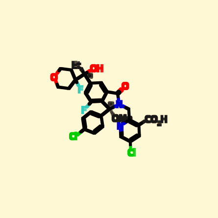 CC[C@@](O)(c1cc(F)c2c(c1)C(=O)N(Cc1ncc(Cl)cc1C(=O)O)[C@@]2(OC)c1ccc(Cl)cc1)C1(F)CCOCC1